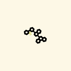 c1ccc2c(c1)cc(-c1ccc(-c3cccc4c3sc3ccccc34)c3ccccc13)c1ccccc12